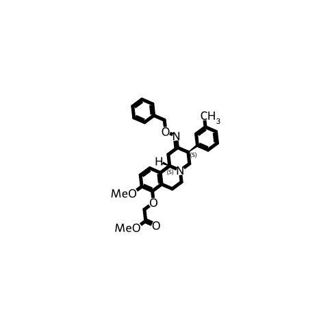 COC(=O)COc1c(OC)ccc2c1CCN1C[C@H](c3cccc(C)c3)C(=NOCc3ccccc3)C[C@@H]21